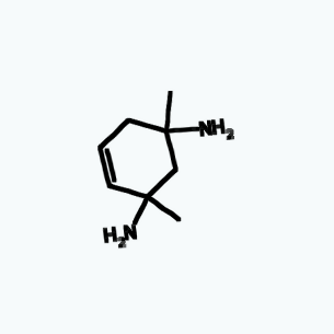 CC1(N)C=CCC(C)(N)C1